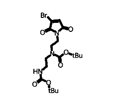 CC(C)(C)OC(=O)NCCN(CCN1C(=O)C=C(Br)C1=O)C(=O)OC(C)(C)C